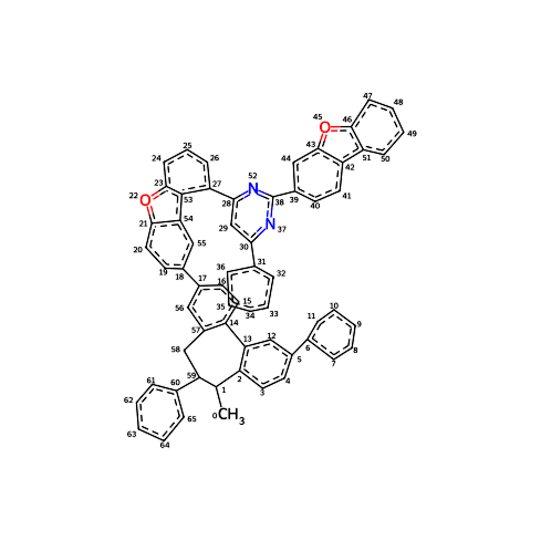 CC1c2ccc(-c3ccccc3)cc2-c2ccc(-c3ccc4oc5cccc(-c6cc(-c7ccccc7)nc(-c7ccc8c(c7)oc7ccccc78)n6)c5c4c3)cc2CC1c1ccccc1